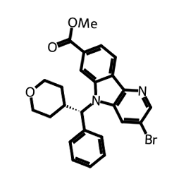 COC(=O)c1ccc2c3ncc(Br)cc3n([C@H](c3ccccc3)C3CCOCC3)c2c1